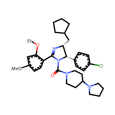 CCOc1cc(OC)ccc1C1=N[C@H](CC2CCCC2)[C@H](c2ccc(Cl)cc2)N1C(=O)N1CCC(N2CCCC2)CC1